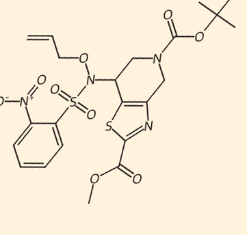 C=CCON(C1CN(C(=O)OC(C)(C)C)Cc2nc(C(=O)OC)sc21)S(=O)(=O)c1ccccc1[N+](=O)[O-]